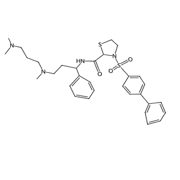 CN(C)CCCN(C)CCC(NC(=O)C1SCCN1S(=O)(=O)c1ccc(-c2ccccc2)cc1)c1ccccc1